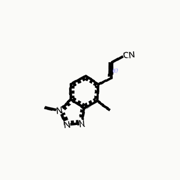 Cc1c(/C=C/C#N)ccc2c1nnn2C